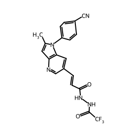 Cc1cc2ncc(/C=C/C(=O)NNC(=O)C(F)(F)F)cc2n1-c1ccc(C#N)cc1